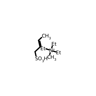 CC=CCS(=O)(=O)O.CC[N+](C)(CC)CC